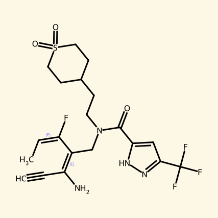 C#C/C(N)=C(CN(CCC1CCS(=O)(=O)CC1)C(=O)c1cc(C(F)(F)F)n[nH]1)\C(F)=C/C